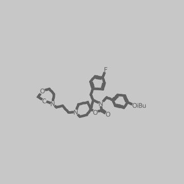 CC(C)COc1ccc(CN2C(=O)OC3(CCN(CCCN4CCOCC4)CC3)C2Cc2ccc(F)cc2)cc1